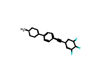 CC1CCC(c2ccc(C#CC3CC(F)C(F)C(F)C3)cc2)CC1